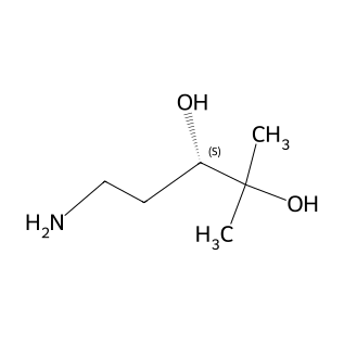 CC(C)(O)[C@@H](O)CCN